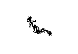 O=C(C=Cc1ccn(S(=O)(=O)c2cccc(-c3ccc(CCCN4CCOCC4)cc3)c2)c1)NOC1CCCCO1